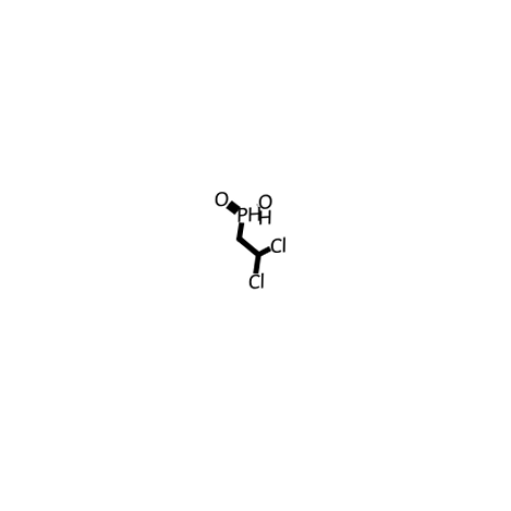 O=[PH](O)CC(Cl)Cl